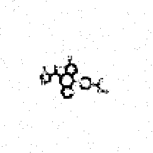 CC(C)OC(=O)N1CCN([C@H]2c3ccc(Cl)cc3C(C(=N)C3CN=CN3C)=Cc3cccnc32)CC1